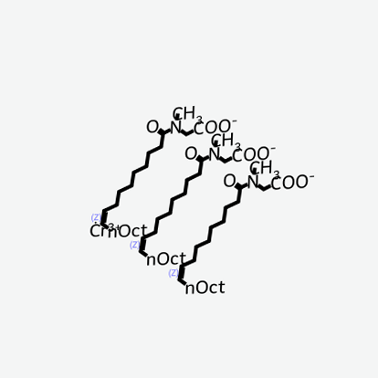 CCCCCCCC/C=C\CCCCCCCC(=O)N(C)CC(=O)[O-].CCCCCCCC/C=C\CCCCCCCC(=O)N(C)CC(=O)[O-].CCCCCCCC/C=C\CCCCCCCC(=O)N(C)CC(=O)[O-].[Cr+3]